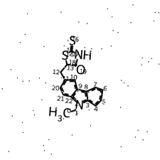 CCn1c2ccccc2c2cc(CC3SC(=S)NC3=O)ccc21